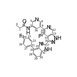 CCC(=O)Nc1cncc(-c2ncc3[nH]nc(-c4nc5c(-c6ccc(F)cc6)cccc5[nH]4)c3c2F)c1